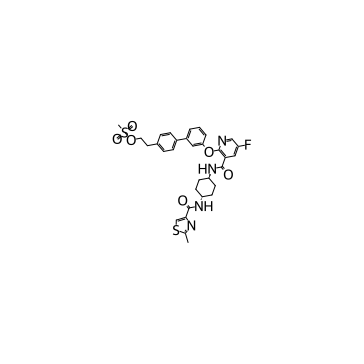 Cc1nc(C(=O)N[C@H]2CC[C@H](NC(=O)c3cc(F)cnc3Oc3cccc(-c4ccc(CCOS(C)(=O)=O)cc4)c3)CC2)cs1